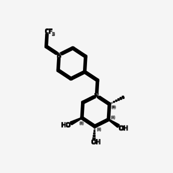 C[C@@H]1[C@@H](O)[C@H](O)[C@@H](O)CN1CC1CCN(CC(F)(F)F)CC1